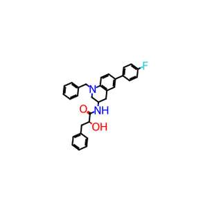 O=C(NC1Cc2cc(-c3ccc(F)cc3)ccc2N(Cc2ccccc2)C1)[C@@H](O)Cc1ccccc1